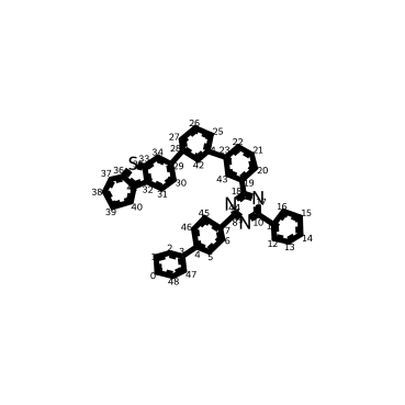 c1ccc(-c2ccc(-c3nc(-c4ccccc4)nc(-c4cccc(-c5cccc(-c6ccc7c(c6)sc6ccccc67)c5)c4)n3)cc2)cc1